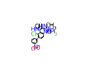 CNC1=CC(NC)(NC)Nc2ccc(-c3cccc([N+](=O)[O-])c3)c(Cl)c21